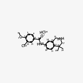 COc1ccc(C(=O)Nc2ccc3c(c2)CNCC3(C)C)cc1Cl.Cl